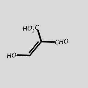 O=CC(=CO)C(=O)O